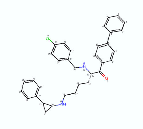 O=C(c1ccc(-c2ccccc2)cc1)[C@H](CCCCNC1CC1c1ccccc1)NCc1ccc(Cl)cc1